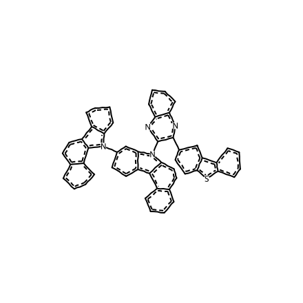 c1ccc2c(c1)ccc1c2c2ccc(-n3c4ccccc4c4ccc5ccccc5c43)cc2n1-c1nc2ccccc2nc1-c1ccc2sc3ccccc3c2c1